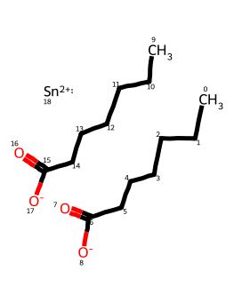 CCCCCCC(=O)[O-].CCCCCCC(=O)[O-].[Sn+2]